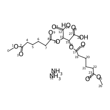 COC(=O)CCCCC(=O)OC(C(=O)O)C(OC(=O)CCCCC(=O)OC)C(=O)O.N.N